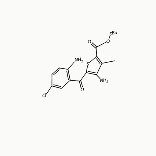 Cc1c(C(=O)OC(C)(C)C)sc(C(=O)c2cc(Cl)ccc2N)c1N